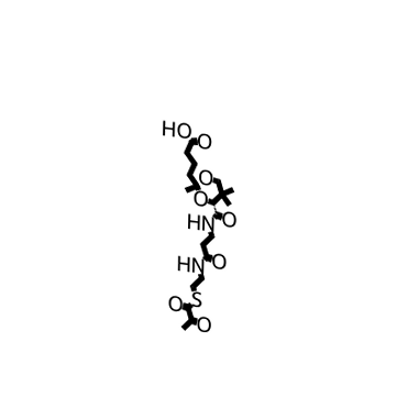 CC(=O)C(=O)SCCNC(=O)CCNC(=O)[C@@H]1OC(C)(CCCC(=O)O)OCC1(C)C